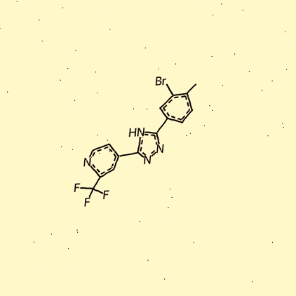 Cc1ccc(-c2nnc(-c3ccnc(C(F)(F)F)c3)[nH]2)cc1Br